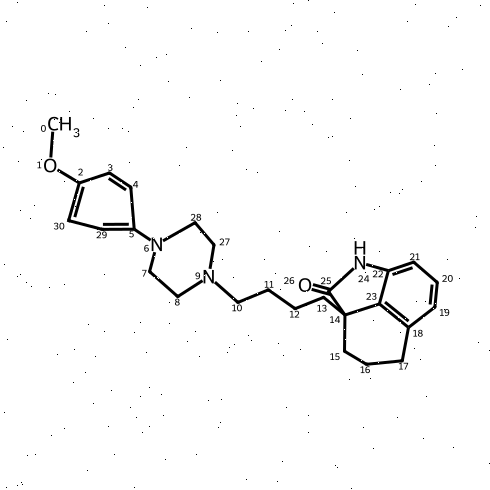 COc1ccc(N2CCN(CCCCC34CCCc5cccc(c53)NC4=O)CC2)cc1